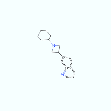 c1cnc2cc(C3CN(C4CCCCC4)C3)ccc2c1